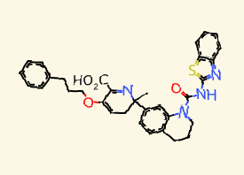 CC1(c2ccc3c(c2)N(C(=O)Nc2nc4ccccc4s2)CCC3)CC=C(OCCCc2ccccc2)C(C(=O)O)=N1